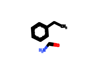 CCc1ccccc1.NC=O